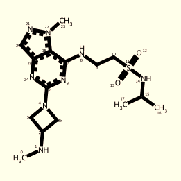 CNC1CN(c2nc(NCCS(=O)(=O)NC(C)C)c3c(cnn3C)n2)C1